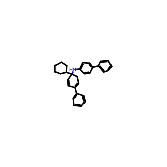 C1=CC(Nc2ccc(-c3ccccc3)cc2)(C2CCCCC2)CC=C1c1ccccc1